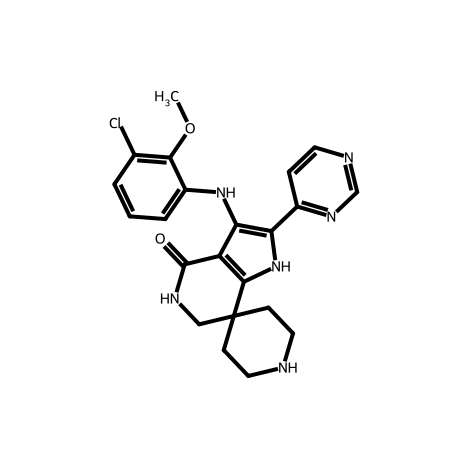 COc1c(Cl)cccc1Nc1c(-c2ccncn2)[nH]c2c1C(=O)NCC21CCNCC1